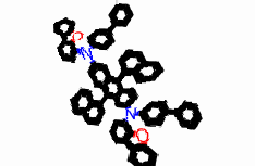 c1ccc(-c2ccc(N(c3ccc4c(-c5cccc6ccccc56)c5cc(N(c6ccc(-c7ccccc7)cc6)c6cccc7c6oc6ccccc67)ccc5c(-c5cccc6ccccc56)c4c3)c3cccc4c3oc3ccccc34)cc2)cc1